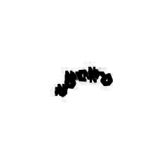 Cn1ccc(-c2ccc3c(N4CCN(c5ncc(Cc6ccccc6)cn5)CC4)cnn3c2)n1